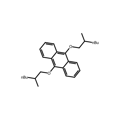 CCCCC(C)COc1c2ccccc2c(OCC(C)CCCC)c2ccccc12